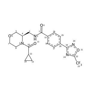 O=C(NC[C@@H]1COCCN1C(=O)C1CC1)c1ccc(-c2noc(C(F)(F)F)n2)cc1